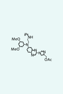 COc1cc(OC)cc(N(CCNC(C)C)c2ccc3ncc(-n4cnc(COC(C)=O)c4)nc3c2)c1